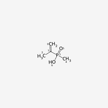 C=C(C)P(C)(=O)O